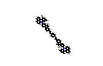 Cc1cc(C)cc(N(c2ccc3c(c2)C(C)(C)c2cc(/C=C/c4ccc(/C=C/c5ccc6c(c5)C(C)(C)c5cc(N(c7cc(C)cc(C)c7)c7cccc8ccccc78)ccc5-6)cc4)ccc2-3)c2cccc3ccccc23)c1